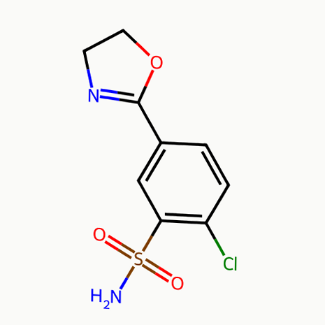 NS(=O)(=O)c1cc(C2=NCCO2)ccc1Cl